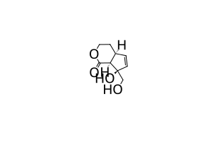 O=C1OCC[C@H]2C=C[C@](O)(CO)[C@@H]12